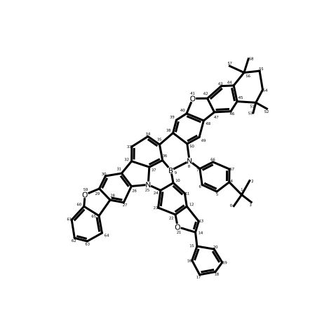 CC(C)(C)c1ccc(N2B3c4cc5cc(-c6ccccc6)oc5cc4-n4c5cc6c(cc5c5ccc(c3c54)-c3cc4oc5cc7c(cc5c4cc32)C(C)(C)CCC7(C)C)oc2ccccc26)cc1